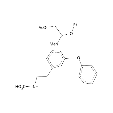 CCOC(COC(C)=O)NC.O=C(O)NCCc1cccc(Oc2ccccc2)c1